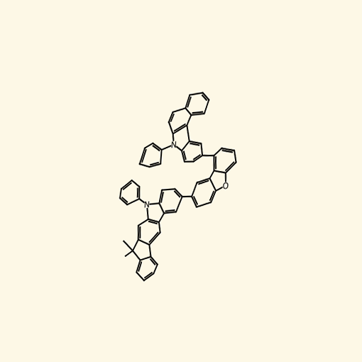 CC1(C)c2ccccc2-c2cc3c4cc(-c5ccc6oc7cccc(-c8ccc9c(c8)c8c%10ccccc%10ccc8n9-c8ccccc8)c7c6c5)ccc4n(-c4ccccc4)c3cc21